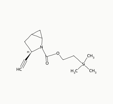 C#C[C@H]1CC2CC2N1C(=O)OCC[Si](C)(C)C